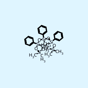 C[Si](C)(C)O[Si](C)(O[Si](C)(O[Si](C)(O[Si](C)(C)C)c1ccccc1)c1ccccc1)c1ccccc1